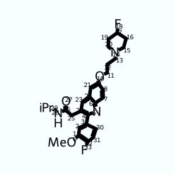 COc1cc(-c2nc3ccc(OCCCN4CCC(F)CC4)cc3cc2CC(=O)NC(C)C)ccc1F